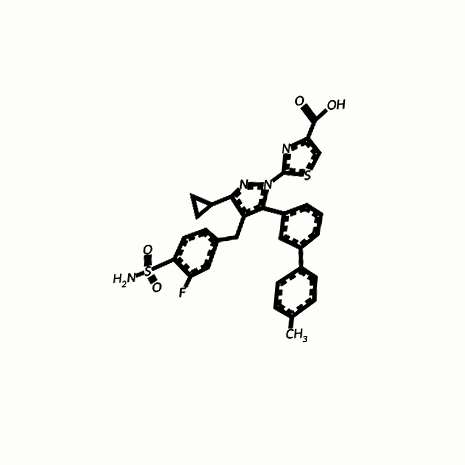 Cc1ccc(-c2cccc(-c3c(Cc4ccc(S(N)(=O)=O)c(F)c4)c(C4CC4)nn3-c3nc(C(=O)O)cs3)c2)cc1